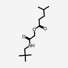 CC(C)CCC(=O)OCC(=O)NCC(C)(C)C